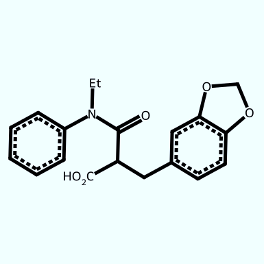 CCN(C(=O)C(Cc1ccc2c(c1)OCO2)C(=O)O)c1ccccc1